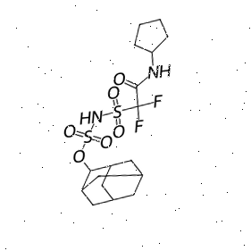 O=C(NC1CCCC1)C(F)(F)S(=O)(=O)NS(=O)(=O)OC1C2CC3CC(C2)CC1C3